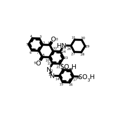 O=C1c2ccccc2C(=O)c2c(/N=N\c3ccc(S(=O)(=O)O)cc3)c(S(=O)(=O)O)cc(NC3CCCCC3)c21